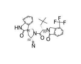 CC(C)(C)C[C@@H](C(=O)N1C[C@]2(C[C@H]1C#N)C(=O)Nc1ccccc12)N1Cc2c(cccc2C(F)(F)F)C1=O